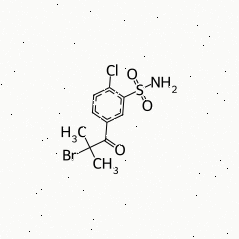 CC(C)(Br)C(=O)c1ccc(Cl)c(S(N)(=O)=O)c1